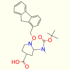 CN(C(=O)OC(C)(C)C)C1CC(C(=O)O)CCN1OCc1cccc2c1Cc1ccccc1-2